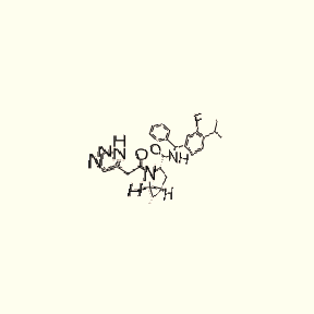 CC(C)c1ccc([C@@H](NC(=O)[C@@H]2C[C@@H]3[C@H](C)[C@@H]3N2C(=O)Cc2cnn[nH]2)c2ccccc2)cc1F